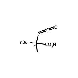 CCCC[C@](C)(N=C=O)C(=O)O